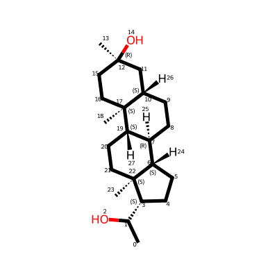 CC(O)[C@H]1CC[C@H]2[C@@H]3CC[C@H]4C[C@](C)(O)CC[C@]4(C)[C@H]3CC[C@]12C